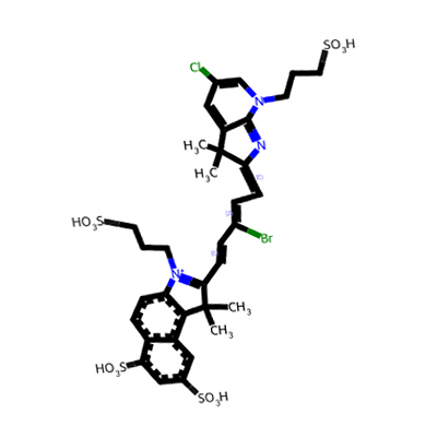 CC1(C)C2=CC(Cl)=CN(CCCS(=O)(=O)O)C2=N/C1=C/C=C(Br)/C=C/C1=[N+](CCCS(=O)(=O)O)c2ccc3c(S(=O)(=O)O)cc(S(=O)(=O)O)cc3c2C1(C)C